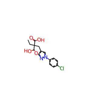 CCC(Cc1cnn(-c2ccc(Cl)cc2)c1)(C(=O)O)C(=O)O